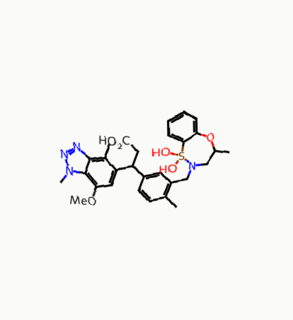 COc1cc(C(CC(=O)O)c2ccc(C)c(CN3CC(C)Oc4ccccc4S3(O)O)c2)c(C)c2nnn(C)c12